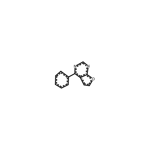 c1ccc(-c2ncnc3occc23)cc1